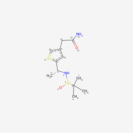 C[C@@H](N[S+]([O-])C(C)(C)C)c1cc(CC(N)=O)cs1